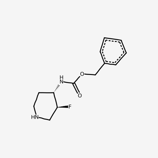 O=C(N[C@H]1CCNC[C@@H]1F)OCc1ccccc1